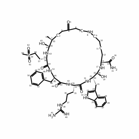 C[C@H]1CCC(=O)CCNCCCC[C@@H](C(N)=O)N[C@@H](O)[C@H](Cc2c[nH]c3ccccc23)NC(=O)[C@H](CCCNC(=N)N)NC(=O)[C@@H](Cc2ccccc2)NC(=O)[C@H](CCS(C)(=O)=O)N[C@H]1O